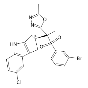 Cc1nnc(C(C)([C@@H]2Cc3[nH]c4ccc(Cl)cc4c3C2)S(=O)(=O)c2cccc(Br)c2)o1